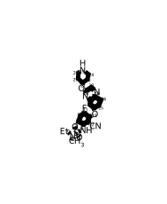 CCN(C)S(=O)(=O)Nc1ccc(F)c(Oc2ccc3ncc(OC4CCNCC4)nc3c2)c1C#N